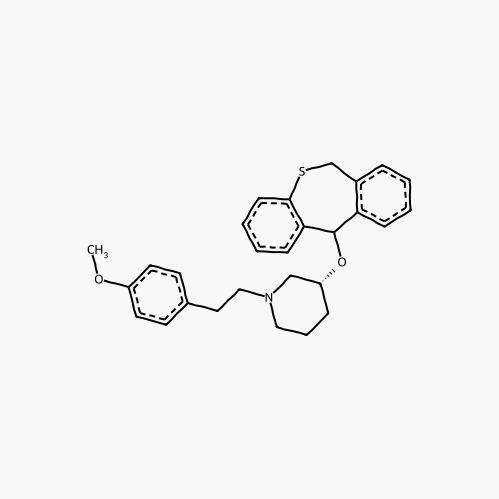 COc1ccc(CCN2CCC[C@@H](OC3c4ccccc4CSc4ccccc43)C2)cc1